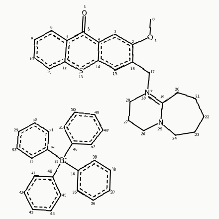 COc1cc2c(=O)c3ccccc3sc2cc1C[N+]1=C2CCCCCN2CCC1.c1ccc([B-](c2ccccc2)(c2ccccc2)c2ccccc2)cc1